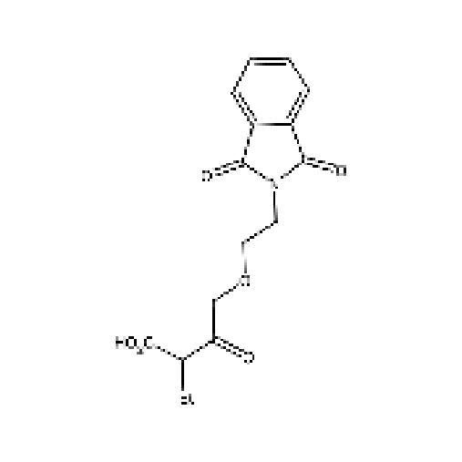 CCC(C(=O)O)C(=O)COCCN1C(=O)c2ccccc2C1=O